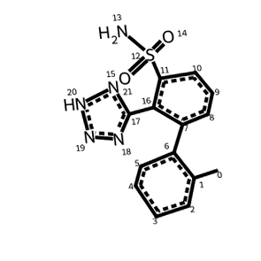 Cc1ccccc1-c1cccc(S(N)(=O)=O)c1-c1nn[nH]n1